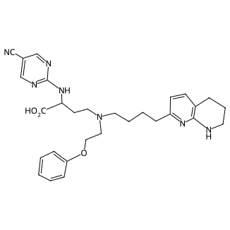 N#Cc1cnc(NC(CCN(CCCCc2ccc3c(n2)NCCC3)CCOc2ccccc2)C(=O)O)nc1